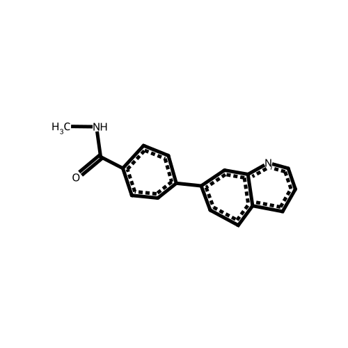 CNC(=O)c1ccc(-c2ccc3cccnc3c2)cc1